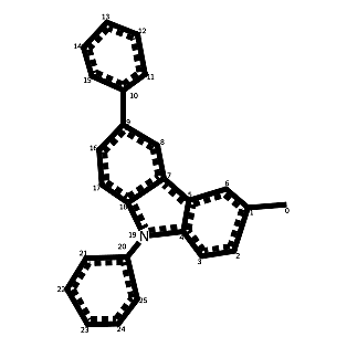 Cc1ccc2c(c1)c1cc(-c3ccccc3)ccc1n2-c1ccccc1